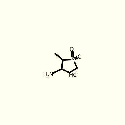 CC1C(N)CCS1(=O)=O.Cl